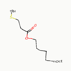 CCCCCCCCCCCCOC(=O)CCSCCCC